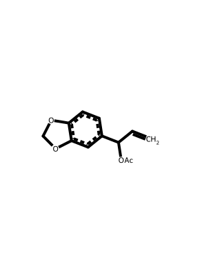 C=CC(OC(C)=O)c1ccc2c(c1)OCO2